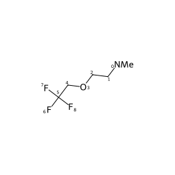 CNCCOCC(F)(F)F